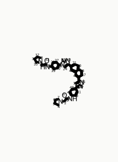 O=C(CN1CCCC1)Nc1ccc(-n2cc(-c3ccc4ccc(-c5cn(-c6ccc(NC(=O)CN7CCCC7)cc6)nn5)cc4c3)nn2)cc1